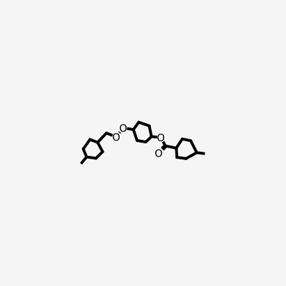 CC1CCC(COOC2CCC(OC(=O)C3CCC(C)CC3)CC2)CC1